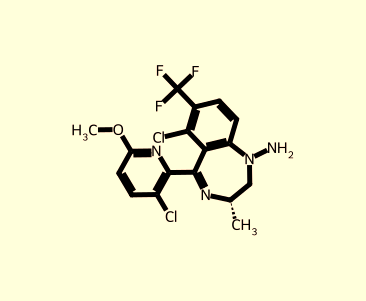 COc1ccc(Cl)c(C2=N[C@@H](C)CN(N)c3ccc(C(F)(F)F)c(Cl)c32)n1